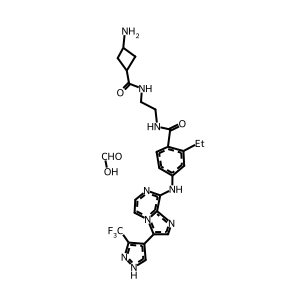 CCc1cc(Nc2nccn3c(-c4c[nH]nc4C(F)(F)F)cnc23)ccc1C(=O)NCCNC(=O)C1CC(N)C1.O=CO